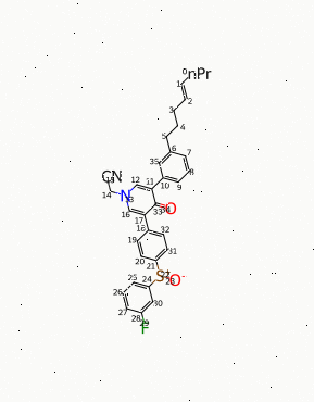 CCC/C=C/CCCc1cccc(-c2cn(CC#N)cc(-c3ccc([S+]([O-])c4cccc(F)c4)cc3)c2=O)c1